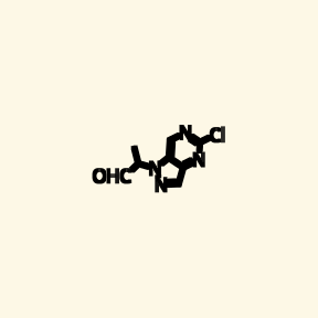 CC(C=O)n1ncc2nc(Cl)ncc21